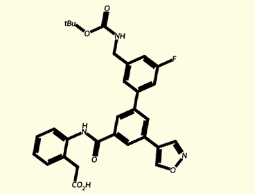 CC(C)(C)OC(=O)NCc1cc(F)cc(-c2cc(C(=O)Nc3ccccc3CC(=O)O)cc(-c3cnoc3)c2)c1